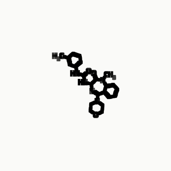 Cc1cccc(NC(=O)N[C@@H]2N=C(N3CCOCC3)c3ccccc3N(C)C2=O)c1